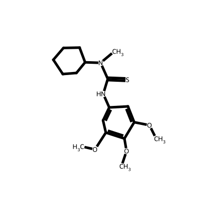 COc1cc(NC(=S)N(C)C2CCCCC2)cc(OC)c1OC